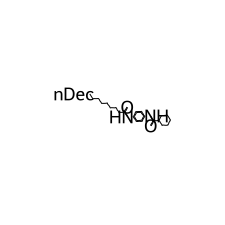 CCCCCCCCCCCCCCCCCC(=O)Nc1ccc(NC(=O)C2CCCCC2)cc1